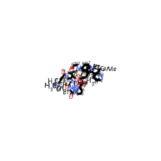 CC[C@H](NC(=O)[C@H](C(C)C)N(C)C(=O)C1(F)CCN(C(=O)C#CC(C)(C)N(C)C)CC1)C(=O)N1CCCC(C(=O)OCC(C)(C)Cc2c(-c3cccnc3[C@H](C)OC)n(CC)c3ccc(N4CCOCC4)cc23)N1